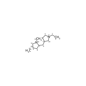 CCN1CCC(CC2C[C@H](C)CN2C)C1